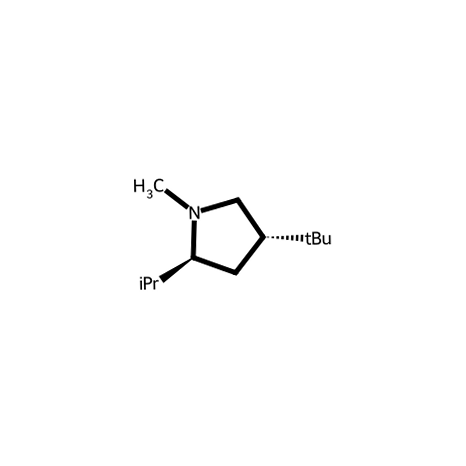 CC(C)[C@@H]1C[C@@H](C(C)(C)C)CN1C